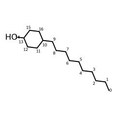 CCCCCCCCCCC1CCC(O)CC1